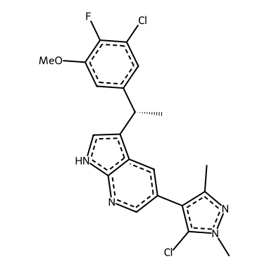 COc1cc([C@H](C)c2c[nH]c3ncc(-c4c(C)nn(C)c4Cl)cc23)cc(Cl)c1F